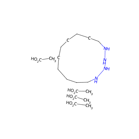 C1CCCCCNNNNCCCC1.CC(=O)O.CC(=O)O.CC(=O)O.CC(=O)O